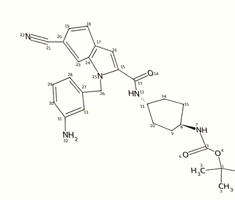 CC(C)(C)OC(=O)N[C@H]1CC[C@H](NC(=O)c2cc3ccc(C#N)cc3n2Cc2cccc(N)c2)CC1